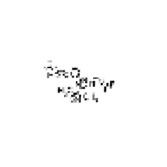 CNCC(O)COc1cccc(-c2nc(-c3c(C)noc3C)cc(N3CCN(CC(F)F)CC3)n2)c1